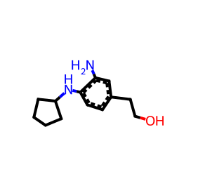 Nc1cc(CCO)ccc1NC1CCCC1